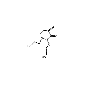 C=C(CC)C(=O)N(OCCO)OCCO